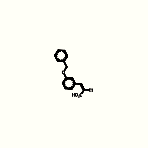 CCC(=Cc1cccc(OCc2ccccc2)c1)C(=O)O